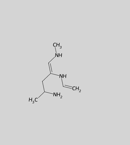 C=CN/C(=C\NC)CC(C)N